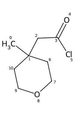 CC1(CC(=O)Cl)CCOCC1